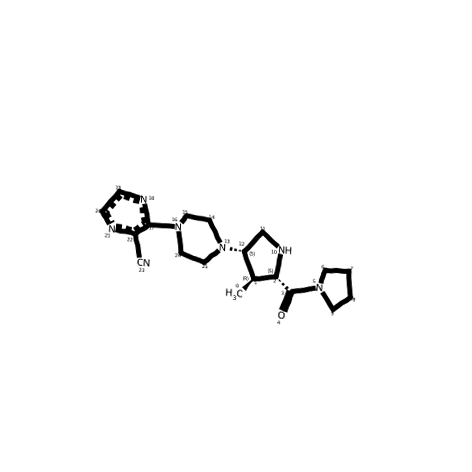 C[C@@H]1[C@@H](C(=O)N2CCCC2)NC[C@H]1N1CCN(c2nccnc2C#N)CC1